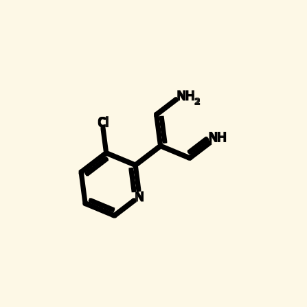 N=C/C(=C\N)c1ncccc1Cl